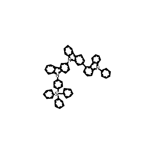 c1ccc(-n2c3ccccc3c3c(-c4ccc5c6ccccc6n(-c6ccc7c(c6)c6ccccc6n7-c6ccc([Si](c7ccccc7)(c7ccccc7)c7ccccc7)cc6)c5c4)cccc32)cc1